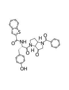 O=C(N[C@@H](Cc1ccc(O)cc1)C(=O)N1CC[C@@H]2[C@H]1C(=O)CN2C(=O)c1ccccc1)c1cc2ccccc2s1